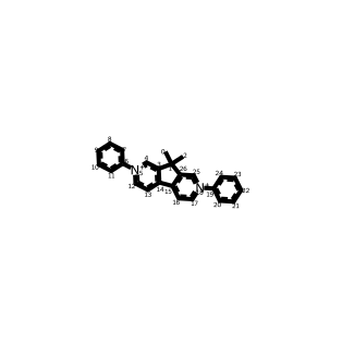 CC1(C)c2c[n+](-c3ccccc3)ccc2-c2cc[n+](-c3ccccc3)cc21